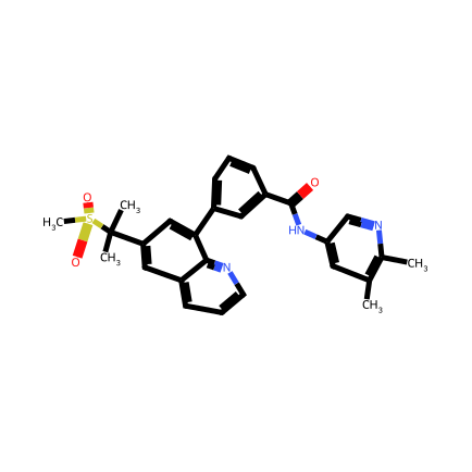 Cc1cc(NC(=O)c2cccc(-c3cc(C(C)(C)S(C)(=O)=O)cc4cccnc34)c2)cnc1C